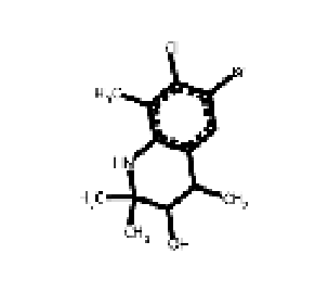 Cc1c(Cl)c(Br)cc2c1NC(C)(C)C(O)C2C